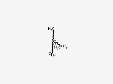 CCCCCCCCCC(CCCCCCCCC(=O)O)OC(=O)CCCN(C)C